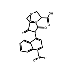 O=C(O)C1C[N@]2CC3C(=O)N(c4ccc([N+](=O)[O-])c5ccccc45)C(=O)[N+]13C2